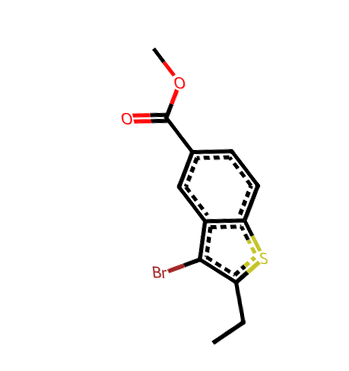 CCc1sc2ccc(C(=O)OC)cc2c1Br